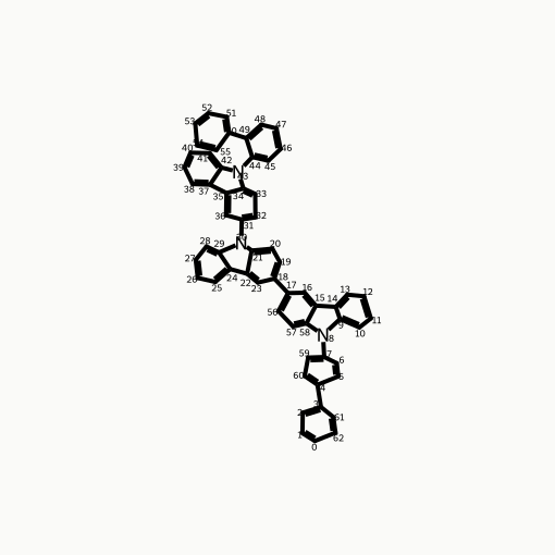 c1ccc(-c2ccc(-n3c4ccccc4c4cc(-c5ccc6c(c5)c5ccccc5n6-c5ccc6c(c5)c5ccccc5n6-c5ccccc5-c5ccccc5)ccc43)cc2)cc1